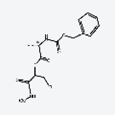 C[C@H](NC(=O)OCc1ccccc1)C(=O)OC(CCl)C(=O)NC(C)(C)C